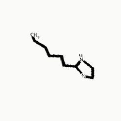 CCCCCCC1[N]CCN1